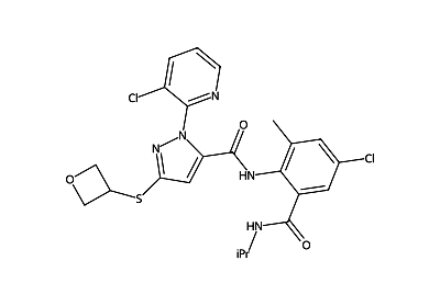 Cc1cc(Cl)cc(C(=O)NC(C)C)c1NC(=O)c1cc(SC2COC2)nn1-c1ncccc1Cl